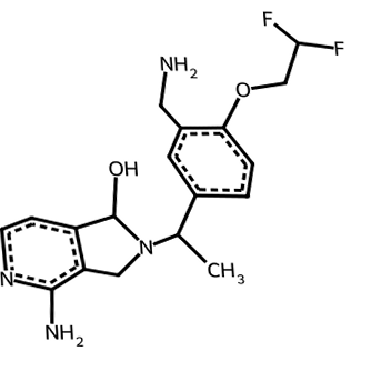 CC(c1ccc(OCC(F)F)c(CN)c1)N1Cc2c(ccnc2N)C1O